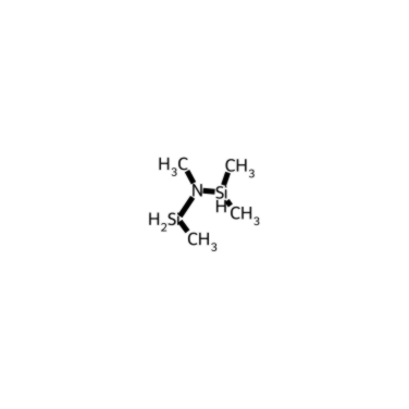 C[SiH2]N(C)[SiH](C)C